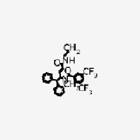 C=CCNC(=O)C=CC(C(c1ccccc1)c1ccccc1)N(C)C(=O)c1cc(C(F)(F)F)cc(C(F)(F)F)c1